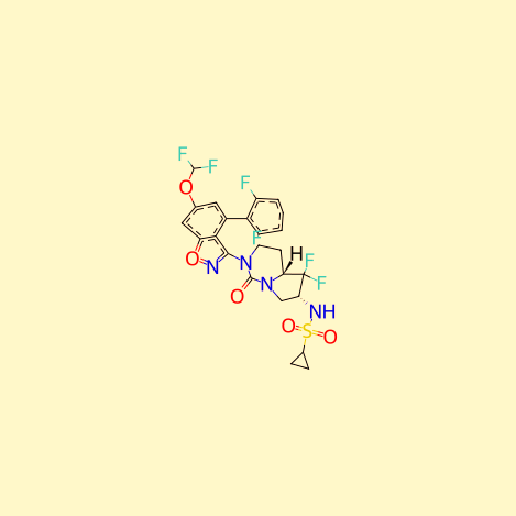 O=C1N(c2noc3cc(OC(F)F)cc(-c4c(F)cccc4F)c23)CC[C@H]2N1C[C@@H](NS(=O)(=O)C1CC1)C2(F)F